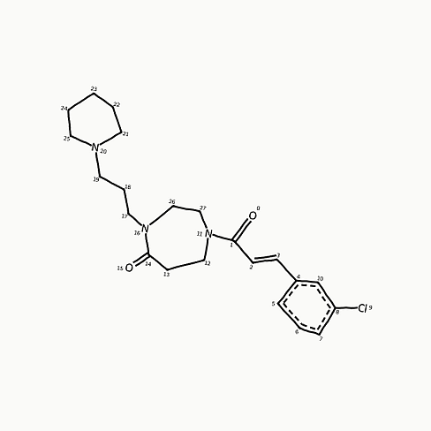 O=C(C=Cc1cccc(Cl)c1)N1CCC(=O)N(CCCN2CCCCC2)CC1